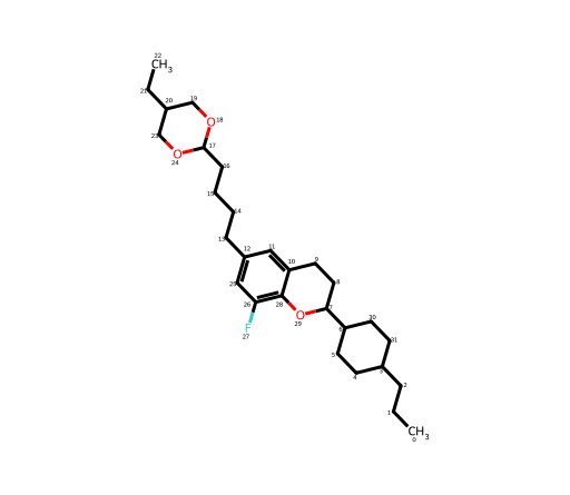 CCCC1CCC(C2CCc3cc(CCCCC4OCC(CC)CO4)cc(F)c3O2)CC1